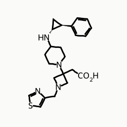 O=C(O)CC1(N2CCC(N[C@@H]3C[C@H]3c3ccccc3)CC2)CN(Cc2cscn2)C1